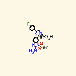 CC(C)C1(c2ccc3nc(N)n(S(=O)(=O)C(C)C)c3c2)N=CC(c2ccc(F)cc2)=N1.CS(=O)(=O)O